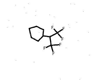 FC(F)(F)[C](C1CCCCC1)C(F)(F)F